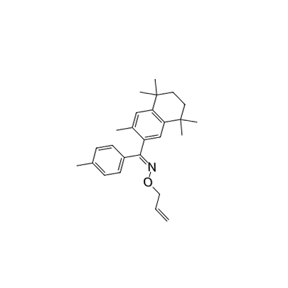 C=CCO/N=C(\c1ccc(C)cc1)c1cc2c(cc1C)C(C)(C)CCC2(C)C